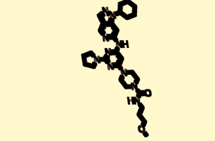 COCCCNC(=O)N1CCN(c2cc(Nc3cc4c(cn3)cnn4C3CCCCC3)nc(N3CCCC3)n2)CC1